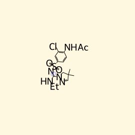 CCN/C(=N/S(=O)(=O)c1ccc(NC(C)=O)c(Cl)c1)N1CC(C)(C)C=N1